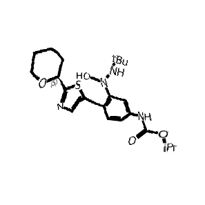 CC(C)OC(=O)Nc1ccc(-c2cnc([C@@H]3CCCCO3)s2)c(N(O)NC(C)(C)C)c1